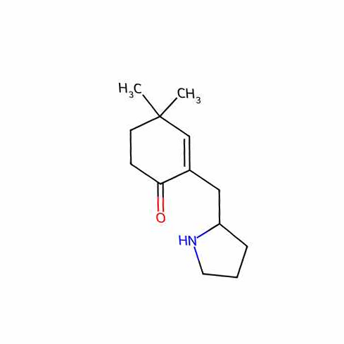 CC1(C)C=C(CC2CCCN2)C(=O)CC1